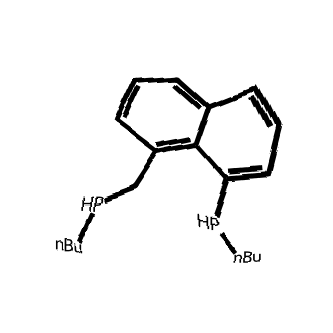 CCCCPCc1cccc2cccc(PCCCC)c12